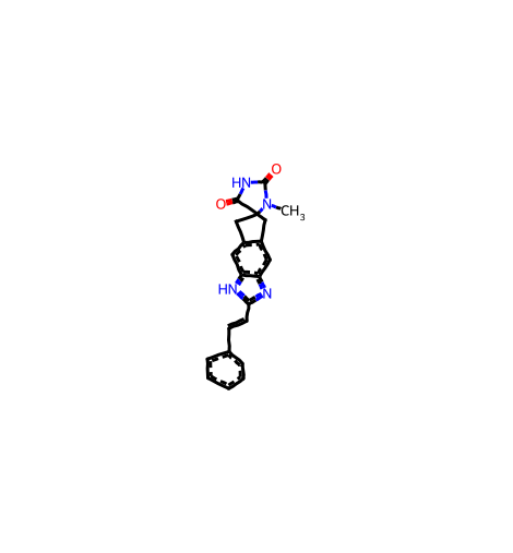 CN1C(=O)NC(=O)C12Cc1cc3nc(/C=C/c4ccccc4)[nH]c3cc1C2